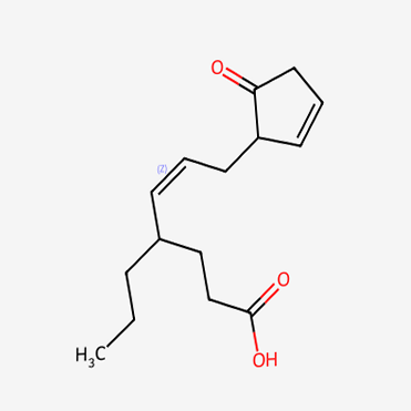 CCCC(/C=C\CC1C=CCC1=O)CCC(=O)O